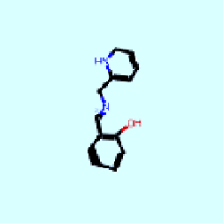 Oc1ccc#cc1/C=N/CC1=CC=CCN1